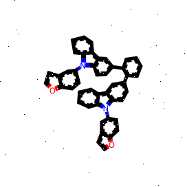 c1ccc(-c2ccc3c(c2)c2ccccc2n3-c2ccc3occc3c2)c(-c2ccc3c(c2)c2ccccc2n3-c2ccc3occc3c2)c1